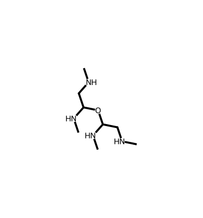 CNCC(NC)OC(CNC)NC